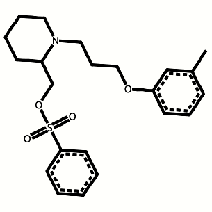 Cc1cccc(OCCCN2CCCCC2COS(=O)(=O)c2ccccc2)c1